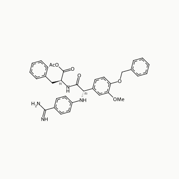 COc1cc([C@H](Nc2ccc(C(=N)N)cc2)C(=O)N[C@@H](Cc2ccccc2)C(=O)OC(C)=O)ccc1OCc1ccccc1